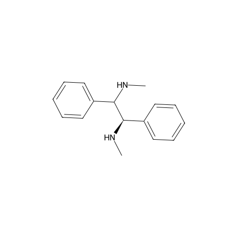 CNC(c1ccccc1)[C@H](NC)c1ccccc1